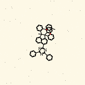 Cc1ccccc1-c1ccccc1C12c3ccccc3-c3ccccc3C1(C)c1cccc3c(-c4nc(-c5ccccc5)nc(-c5ccccc5)n4)ccc2c13